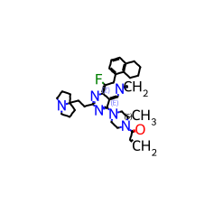 C=CC(=O)N1CCN(c2nc(CCC34CCCN3CCC4)nc(=C(\F)Cc3cccc4c3CCCC4)/c2=C\N=C)C[C@@H]1C